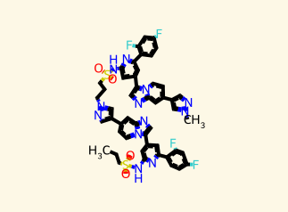 CCCS(=O)(=O)Nc1cc(-c2cnc3cc(-c4cnn(CCCS(=O)(=O)Nc5cc(-c6cnc7cc(-c8cnn(C)c8)ccn67)cc(-c6ccc(F)cc6F)n5)c4)ccn23)cc(-c2ccc(F)cc2F)n1